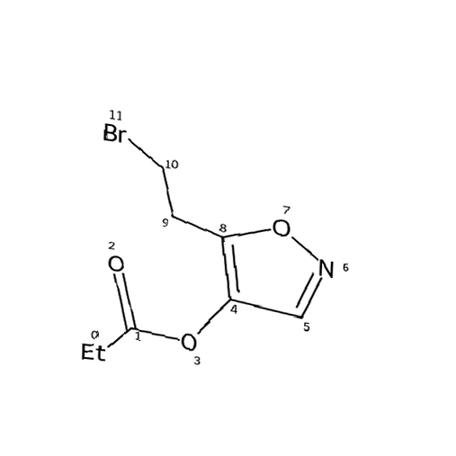 CCC(=O)Oc1cnoc1CCBr